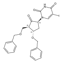 O=C1[C@H](COCc2ccccc2)[C@@H](OCc2ccccc2)C[C@@H]1n1cc(I)c(=O)[nH]c1=O